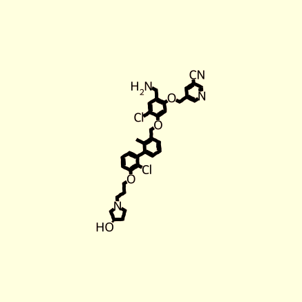 Cc1c(COc2cc(OCc3cncc(C#N)c3)c(CN)cc2Cl)cccc1-c1cccc(OCCCN2CC[C@@H](O)C2)c1Cl